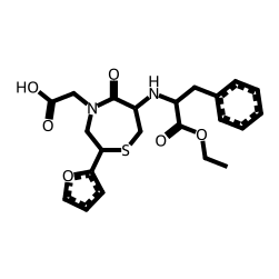 CCOC(=O)C(Cc1ccccc1)NC1CSC(c2ccco2)CN(CC(=O)O)C1=O